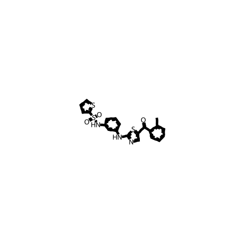 Cc1ccccc1C(=O)c1cnc(Nc2cccc(NS(=O)(=O)c3cccs3)c2)s1